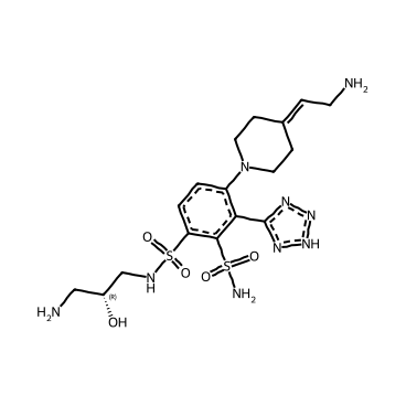 NCC=C1CCN(c2ccc(S(=O)(=O)NC[C@H](O)CN)c(S(N)(=O)=O)c2-c2nn[nH]n2)CC1